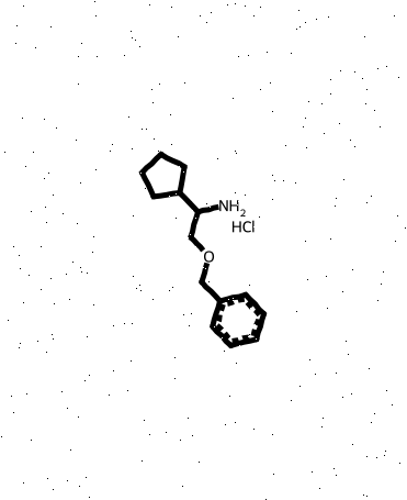 Cl.NC(COCc1ccccc1)C1CCCC1